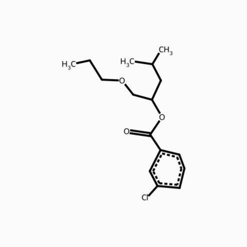 CCCOCC(CC(C)C)OC(=O)c1cccc(Cl)c1